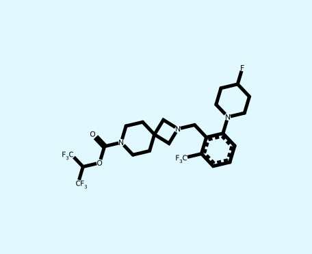 O=C(OC(C(F)(F)F)C(F)(F)F)N1CCC2(CC1)CN(Cc1c(N3CCC(F)CC3)cccc1C(F)(F)F)C2